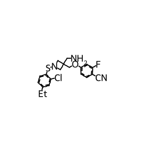 CCc1ccc(SN2CC(CN)(COc3ccc(C#N)c(F)c3)C2)c(Cl)c1